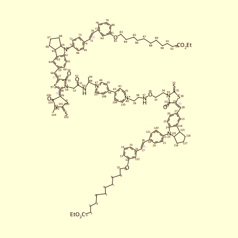 CCOC(=O)CCCCCCCCCCOc1cccc(/C=C/c2ccc(N3c4ccc(/C=C5/SC(=S)N(CCONCC[n+]6ccc(-c7cc[n+](C(C)NC(=O)Cn8c(=O)/c(=C\c9ccc%10c(c9)C9CCCC9N%10c9ccc(/C=C/c%10cccc(OCCCCCCCCCCC(=O)OCC)c%10)cc9)s/c8=C8/SC(=S)N(C)C8=O)cc7)cc6)C5=O)cc4C4CCCC43)cc2)c1